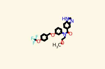 COCCN(C(=O)c1ccc2[nH]cnc2c1)c1cccc(OCc2ccc(OC(F)(F)F)cc2)c1